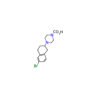 O=C(O)N1CCN(C2CCc3cc(Br)ccc3C2)CC1